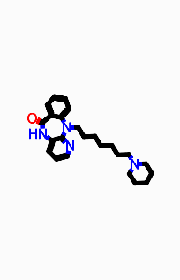 O=C1Nc2cccnc2N(CCCCCCCN2CCCCC2)c2ccccc21